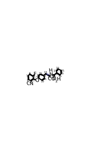 N#Cc1cccc(F)c1Oc1ccc(/C=C(/NC(=O)c2ccccc2)C(=O)O)cc1